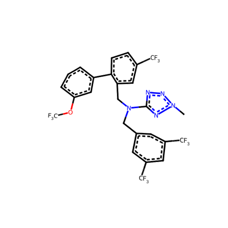 Cn1nnc(N(Cc2cc(C(F)(F)F)cc(C(F)(F)F)c2)Cc2cc(C(F)(F)F)ccc2-c2cccc(OC(F)(F)F)c2)n1